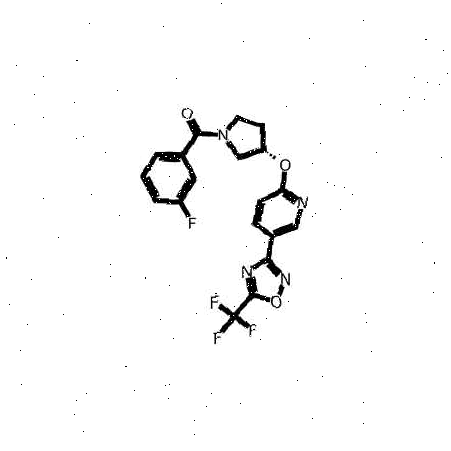 O=C(c1cccc(F)c1)N1CC[C@H](Oc2ccc(-c3noc(C(F)(F)F)n3)cn2)C1